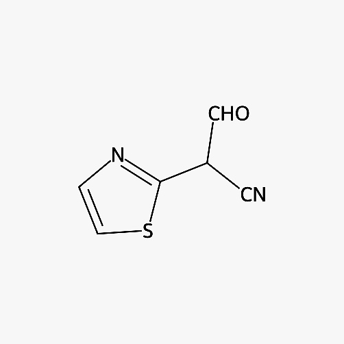 N#CC(C=O)c1nccs1